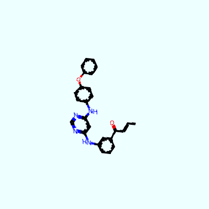 CC=CC(=O)c1cccc(Nc2cc(Nc3ccc(Oc4ccccc4)cc3)ncn2)c1